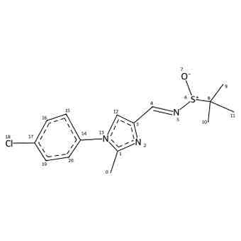 Cc1nc(/C=N/[S+]([O-])C(C)(C)C)cn1-c1ccc(Cl)cc1